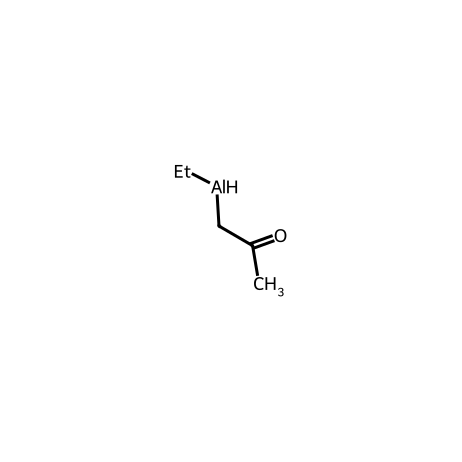 C[CH2][AlH][CH2]C(C)=O